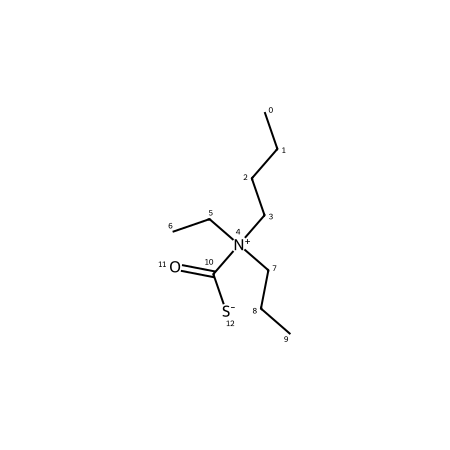 CCCC[N+](CC)(CCC)C(=O)[S-]